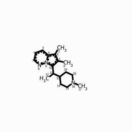 Cc1c(C)c2cccnn2c1C(C)C1CCN(C)CC1